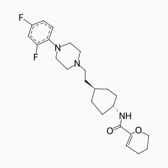 O=C(N[C@H]1CC[C@H](CCN2CCN(c3ccc(F)cc3F)CC2)CC1)C1=CCCCO1